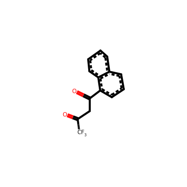 O=C(CC(=O)C(F)(F)F)c1cccc2ccccc12